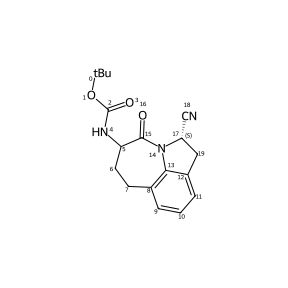 CC(C)(C)OC(=O)NC1CCc2cccc3c2N(C1=O)[C@H](C#N)C3